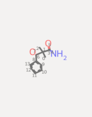 CC(C)(C(N)=O)C(=O)c1ccccc1